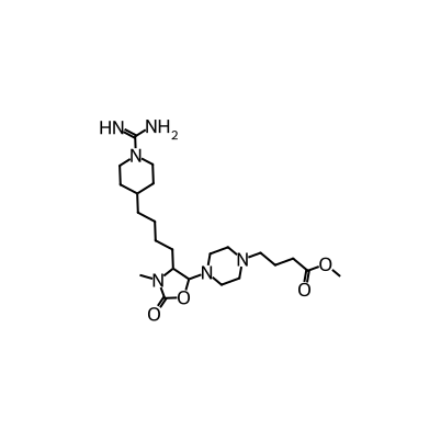 COC(=O)CCCN1CCN(C2OC(=O)N(C)C2CCCCC2CCN(C(=N)N)CC2)CC1